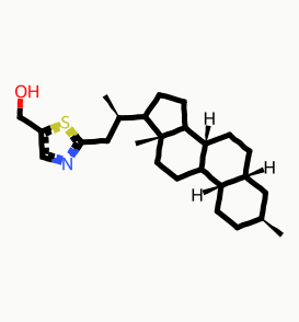 C[C@H]1CC[C@@H]2C3CC[C@@]4(C)C(CCC4[C@H](C)Cc4ncc(CO)s4)[C@@H]3CC[C@@H]2C1